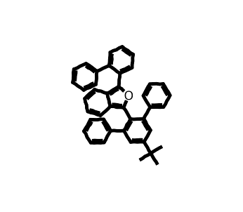 CC(C)(C)c1cc(-c2ccccc2)c(-c2oc(-c3ccccc3-c3ccccc3)c3ccccc23)c(-c2ccccc2)c1